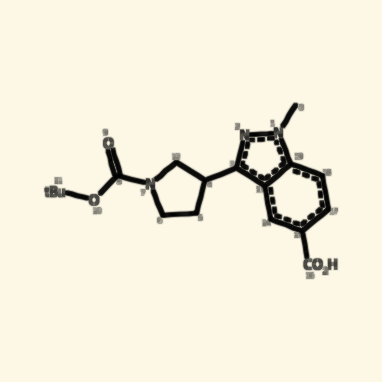 Cn1nc(C2CCN(C(=O)OC(C)(C)C)C2)c2cc(C(=O)O)ccc21